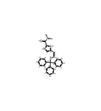 CN(C)C(=O)c1ncc(/C=C\SC(c2ccccc2)(c2ccccc2)c2ccccc2)s1